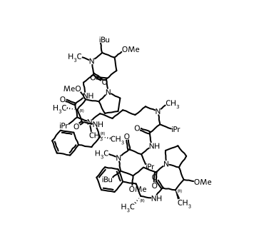 CCC(C)C(C(CC(=O)N1CCCC1C(OC)[C@@H](C)C(=O)N[C@H](C)Cc1ccccc1)OC)N(C)C(=O)CNC(=O)C(C(C)C)N(C)CCCCCN(C)C(C(=O)NC(C(=O)N(C)C(C(C)CC)C(CC(=O)N1CCCC1C(OC)[C@@H](C)C(=O)N[C@H](C)Cc1ccccc1)OC)C(C)C)C(C)C